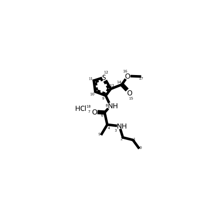 CCCNC(C)C(=O)Nc1ccsc1C(=O)OC.Cl